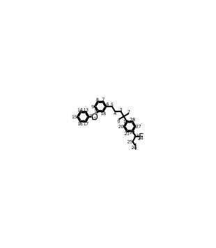 CC(C)(CCCc1cccc(Oc2ccccc2)c1)c1ccc(C(F)CI)cc1